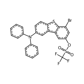 O=S(=O)(Oc1cc(Br)c2sc3ccc(N(c4ccccc4)c4ccccc4)cc3c2c1)C(F)(F)F